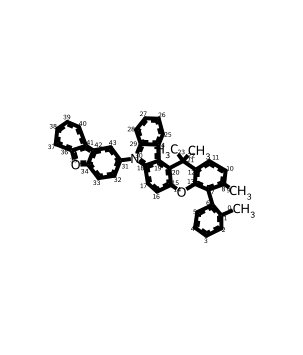 Cc1ccccc1-c1c(C)ccc2c1Oc1ccc3c(c1C2(C)C)c1ccccc1n3-c1ccc2oc3ccccc3c2c1